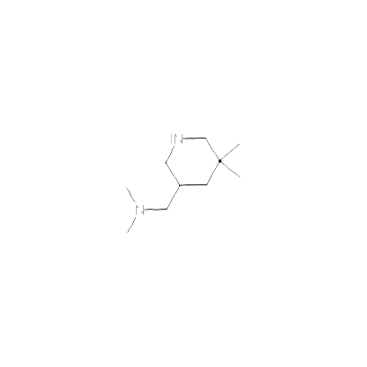 CN(C)CC1CNCC(C)(C)C1